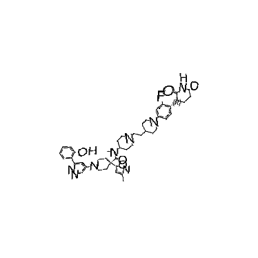 Cc1cc(C2(C(=O)N(C)C3CCN(CCC4CCN(c5ccc([C@H]6CCC(=O)NC6=O)c(F)c5)CC4)CC3)CCN(c3cnnc(-c4ccccc4O)c3)CC2)on1